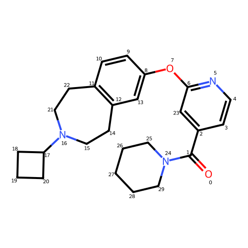 O=C(c1ccnc(Oc2ccc3c(c2)CCN(C2CCC2)CC3)c1)N1CCCCC1